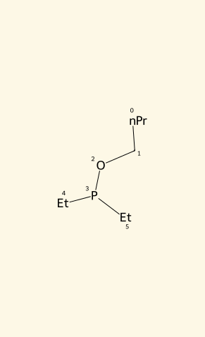 CCCCOP(CC)CC